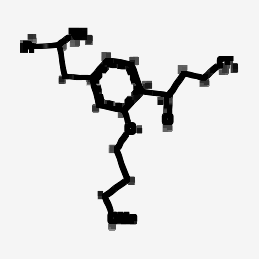 COCCCOc1cc(CC(N)C(C)C)ccc1C(=O)CCC(F)(F)F